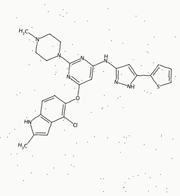 Cc1cc2c(Cl)c(Oc3cc(Nc4cc(-c5cccs5)[nH]n4)nc(N4CCN(C)CC4)n3)ccc2[nH]1